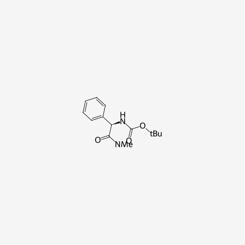 CNC(=O)[C@H](NC(=O)OC(C)(C)C)c1ccccc1